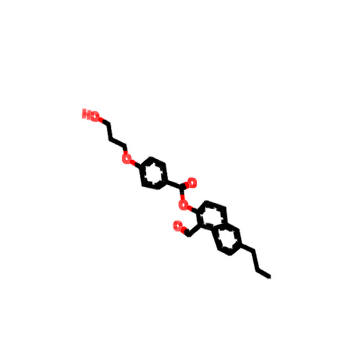 CCCc1ccc2c(C=O)c(OC(=O)c3ccc(OCCCO)cc3)ccc2c1